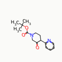 CC(C)(C)OC(=O)N1CCC(c2ccccn2)C(=O)C1